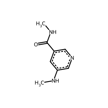 CNC(=O)c1cncc(NC)c1